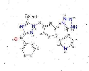 CCCCCc1nc(C(=O)c2ccccc2)nn1Cc1ccc(-c2cnccc2-c2nnn[nH]2)cc1